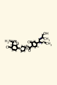 C=N/C=C(\C=C(/C)CO)c1ccc(C(=O)N[C@@H]2CCN(c3ccc(Cl)c4c(N)noc34)C2)c(Cl)c1